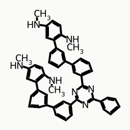 CNc1ccc(NC)c(-c2cccc(-c3cccc(-c4nc(-c5ccccc5)nc(-c5cccc(-c6cccc(-c7cc(NC)ccc7NC)c6)c5)n4)c3)c2)c1